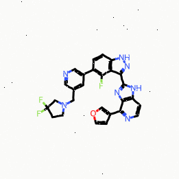 Fc1c(-c2cncc(CN3CCC(F)(F)C3)c2)ccc2[nH]nc(-c3nc4c(-c5ccoc5)nccc4[nH]3)c12